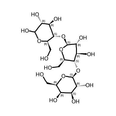 OC[C@H]1O[C@@H](O[C@H]2[C@H](O)[C@@H](O)[C@H](O[C@H]3[C@H](O)[C@@H](O)C(O)O[C@@H]3CO)O[C@@H]2CO)[C@H](O)[C@@H](O)[C@H]1O